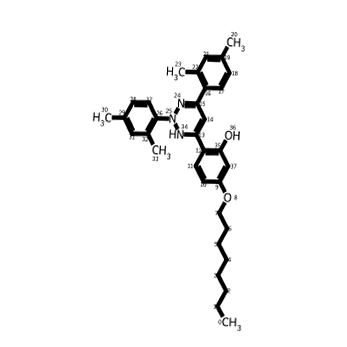 CCCCCCCCOc1ccc(C2=CC(c3ccc(C)cc3C)=NN(c3ccc(C)cc3C)N2)c(O)c1